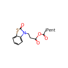 CCCC(C)C(=O)OC(=O)CCn1c(=O)sc2ccccc21